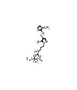 Cn1ccnc1/N=N/c1cnn(CCCNC(=O)OC(C)(C)C)c1N